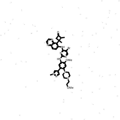 COCCN1CCN(c2cc(OC)c(Nc3ncc(Br)c(Nc4ccc5nccnc5c4C4(C)CC(=O)C4C)n3)cc2-c2cnn(C)c2)CC1